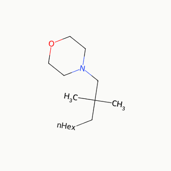 CCCCCCCC(C)(C)CN1CCOCC1